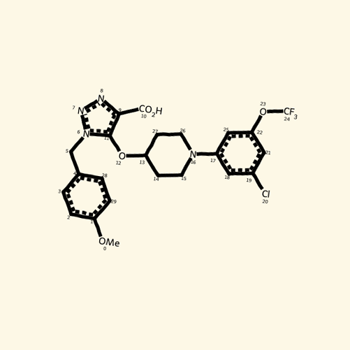 COc1ccc(Cn2nnc(C(=O)O)c2OC2CCN(c3cc(Cl)cc(OC(F)(F)F)c3)CC2)cc1